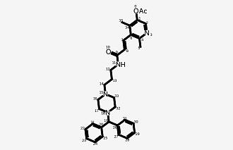 CC(=O)Oc1cnc(C)c(/C=C/C(=O)NCCCN2CCN(C(c3ccccc3)c3ccccc3)CC2)c1C